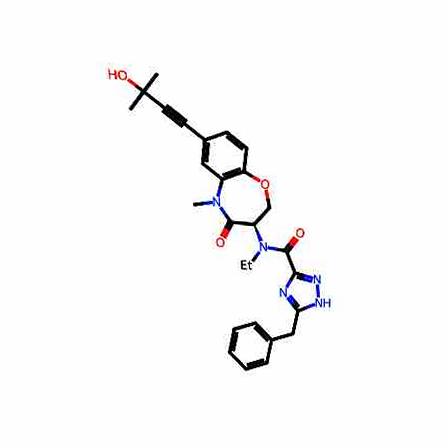 CCN(C(=O)c1n[nH]c(Cc2ccccc2)n1)[C@@H]1COc2ccc(C#CC(C)(C)O)cc2N(C)C1=O